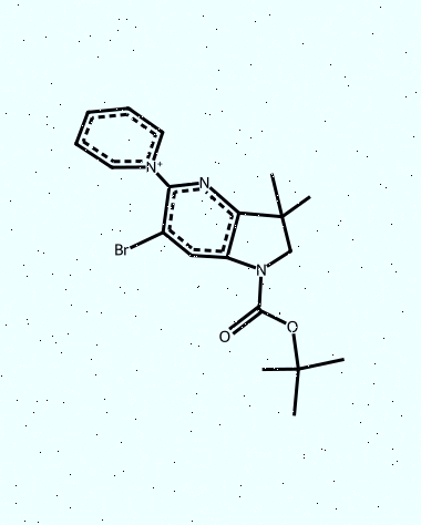 CC(C)(C)OC(=O)N1CC(C)(C)c2nc(-[n+]3ccccc3)c(Br)cc21